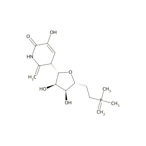 C=C1NC(=O)C(O)=CC1[C@@H]1O[C@H](CCP(=C)(C)C)[C@@H](O)[C@H]1O